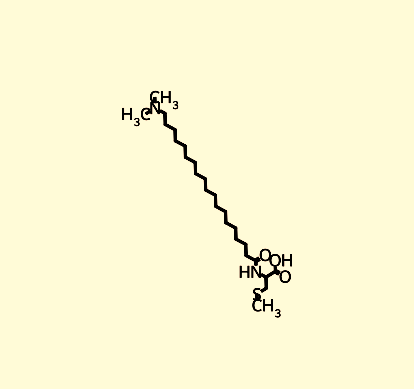 CSCC(NC(=O)CCCCCCCCCCCCCCCCCCN(C)C)C(=O)O